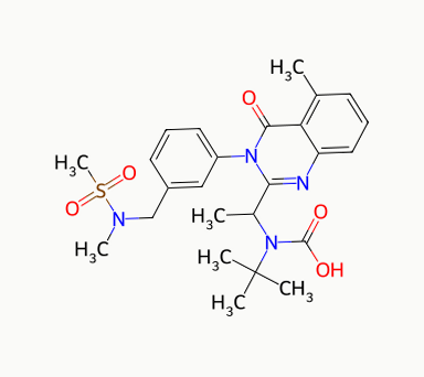 Cc1cccc2nc(C(C)N(C(=O)O)C(C)(C)C)n(-c3cccc(CN(C)S(C)(=O)=O)c3)c(=O)c12